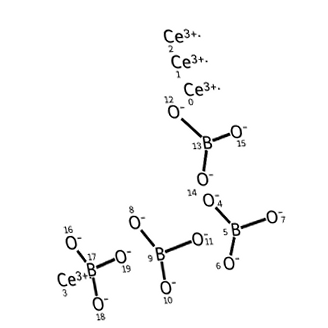 [Ce+3].[Ce+3].[Ce+3].[Ce+3].[O-]B([O-])[O-].[O-]B([O-])[O-].[O-]B([O-])[O-].[O-]B([O-])[O-]